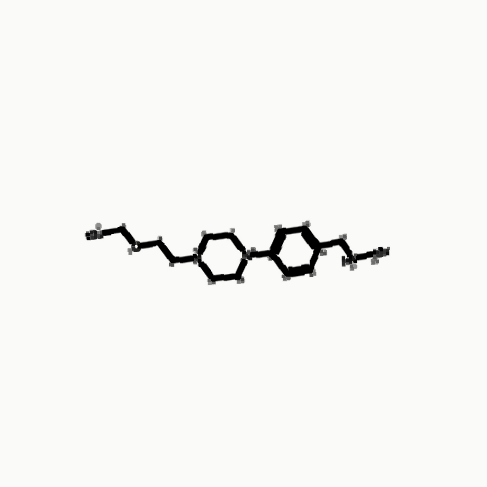 CC(C)(C)COCCN1CCN(c2ccc(CNC(C)(C)C)cc2)CC1